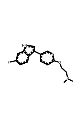 CN(C)CCOc1ccc(-c2c[nH]c3cc(F)ccc23)cn1